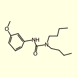 CCCCN(CCCC)C(=O)Nc1cccc(OC)c1